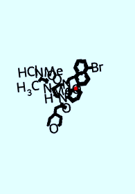 CN[C@@H](C)C(=O)N[C@H]1CN(C(=O)CC2CCOCC2)c2ccccc2N(Cc2c(OC)ccc3c(Br)cccc23)C1=O.Cl